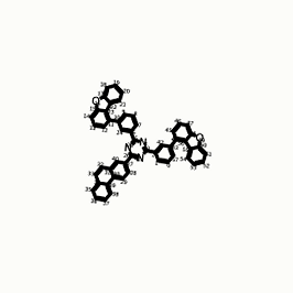 c1cc(-c2nc(-c3cccc(-c4cccc5oc6ccccc6c45)c3)nc(-c3ccc4c(ccc5ccccc54)c3)n2)cc(-c2cccc3oc4ccccc4c23)c1